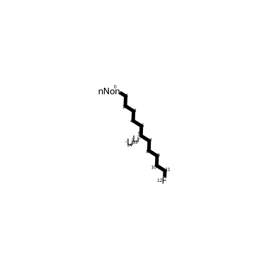 CCCCCCCCCCCCCCCCCCCCF.[Li].[Li]